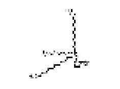 CCCCCCCCCCCC[N+](CCCCCCCCCCCC)(CCCCOCC)CN1CCCC1=O.[Cl-]